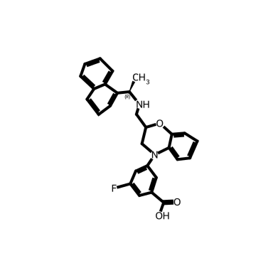 C[C@@H](NCC1CN(c2cc(F)cc(C(=O)O)c2)c2ccccc2O1)c1cccc2ccccc12